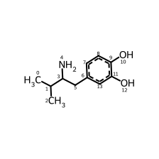 CC(C)C(N)Cc1ccc(O)c(O)c1